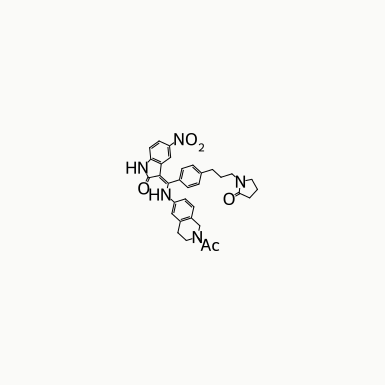 CC(=O)N1CCc2cc(NC(=C3C(=O)Nc4ccc([N+](=O)[O-])cc43)c3ccc(CCCN4CCCC4=O)cc3)ccc2C1